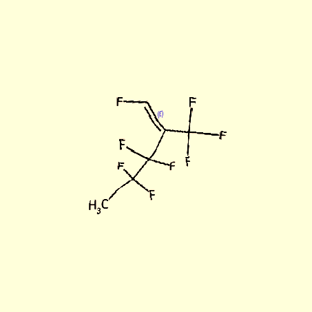 CC(F)(F)C(F)(F)/C(=C\F)C(F)(F)F